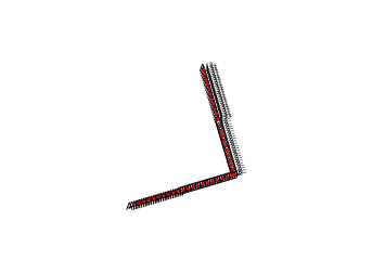 [Al+3].[Al+3].[Al+3].[Al+3].[Al+3].[Al+3].[Al+3].[Al+3].[Al+3].[Al+3].[Al+3].[Al+3].[Al+3].[Al+3].[Al+3].[Al+3].[Al+3].[Al+3].[Al+3].[Al+3].[Al+3].[Al+3].[Al+3].[Al+3].[Al+3].[Al+3].[Al+3].[Al+3].[Al+3].[Al+3].[Al+3].[Al+3].[Al+3].[Al+3].[Al+3].[Al+3].[Al+3].[Al+3].[Al+3].[Al+3].[Al+3].[Al+3].[Al+3].[O-2].[O-2].[O-2].[O-2].[O-2].[O-2].[O-2].[O-2].[O-2].[O-2].[O-2].[O-2].[O-2].[O-2].[O-2].[O-2].[O-2].[O-2].[O-2].[O-2].[O-2].[O-2].[O-2].[O-2].[O-2].[O-2].[O-2].[O-2].[O-2].[O-2].[O-2].[O-2].[O-2].[O-2].[O-2].[O-2].[O-2].[O-2].[O-2].[O-2].[O-2].[O-2].[O-2].[O-2].[O-2]